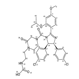 COc1ccc(C2=N[C@@H](c3ccc(Cl)cc3)[C@@H](c3ccc(Cl)cc3)N2C(=O)N2CCN(CCNC(=O)O)C(=O)C2)c(OC(C)C)c1